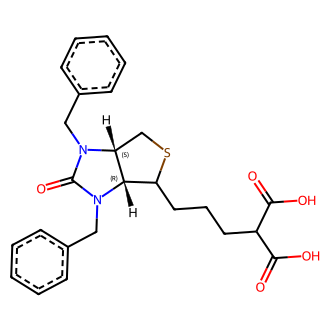 O=C(O)C(CCCC1SC[C@@H]2[C@H]1N(Cc1ccccc1)C(=O)N2Cc1ccccc1)C(=O)O